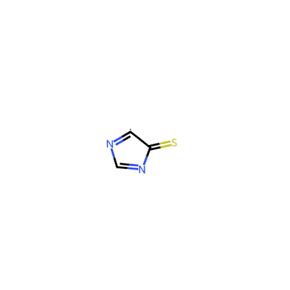 S=C1[C]=NC=N1